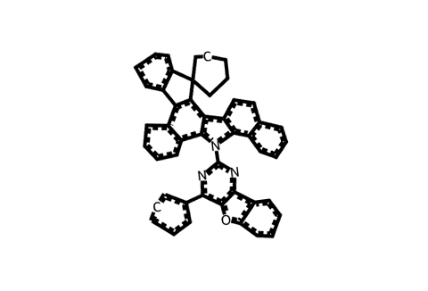 c1ccc(-c2nc(-n3c4c5ccccc5ccc4c4c5c(c6ccccc6c43)-c3ccccc3C53CCCCC3)nc3c2oc2ccccc23)cc1